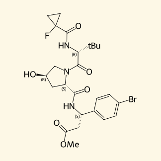 COC(=O)C[C@H](NC(=O)[C@@H]1C[C@@H](O)CN1C(=O)[C@H](NC(=O)C1(F)CC1)C(C)(C)C)c1ccc(Br)cc1